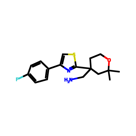 CC1(C)CC(CN)(c2nc(-c3ccc(F)cc3)cs2)CCO1